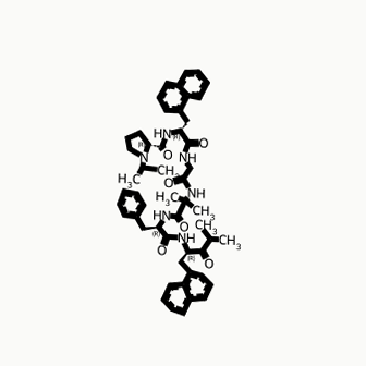 CC(C)C(=O)[C@@H](Cc1cccc2ccccc12)NC(=O)[C@@H](Cc1ccccc1)NC(=O)C(C)(C)NC(=O)CNC(=O)[C@@H](Cc1cccc2ccccc12)NC(=O)[C@H]1CCCN1C(C)C